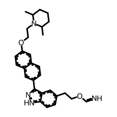 CC1CCCC(C)N1CCOc1ccc2cc(-c3n[nH]c4ccc(CCOC=N)cc34)ccc2c1